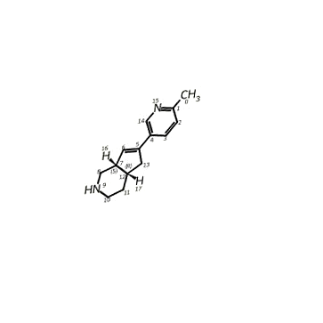 Cc1ccc(C2=C[C@H]3CNCC[C@H]3C2)cn1